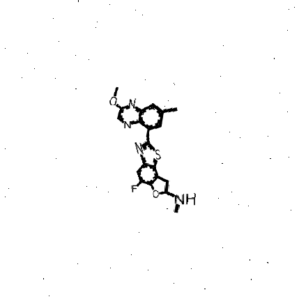 CNC1Cc2c(c(F)cc3nc(-c4cc(C)cc5nc(OC)cnc45)sc23)O1